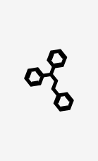 c1ccc(CC[C](c2ccccc2)c2ccccc2)cc1